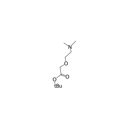 CN(C)CCOCC(=O)OC(C)(C)C